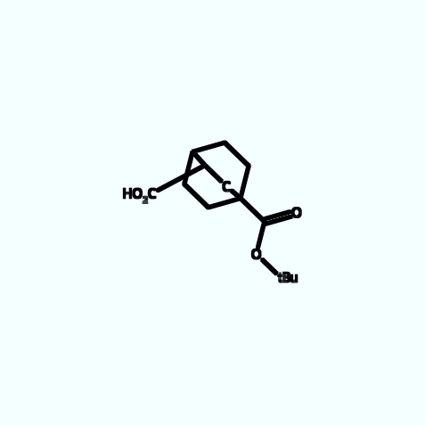 CC(C)(C)OC(=O)C12CCC(CC1)C(C(=O)O)C2